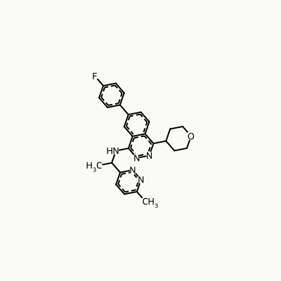 Cc1ccc(C(C)Nc2nnc(C3CCOCC3)c3ccc(-c4ccc(F)cc4)cc23)nn1